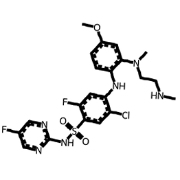 CNCCN(C)c1cc(OC)ccc1Nc1cc(F)c(S(=O)(=O)Nc2ncc(F)cn2)cc1Cl